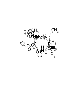 CCCCCC[C@@H]1OC(=O)CNC(=O)[C@H](CNC(=O)OC(C)(C)C)NC(=O)[C@H](CNC(=O)OCc2ccccc2)NC(=O)[C@H](C2CCCCC2)NC(=O)[C@H](CC(C)C)N(C)C(=O)[C@@H]1C